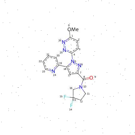 COc1ccc(-n2nc(C(=O)N3CCC(F)(F)C3)cc2-c2ccccn2)nn1